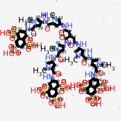 Cn1cc(NC(=O)CC(CC(=O)Nc2cc(C(=O)Nc3cc(C(=O)Nc4cc(S(=O)(=O)O)c5cc(S(=O)(=O)O)cc(S(=O)(=O)O)c5c4)n(C)c3)n(C)c2)C(=O)Nc2cc(C(=O)Nc3cc(C(=O)Nc4cc(S(=O)(=O)O)c5cc(S(=O)(=O)O)cc(S(=O)(=O)O)c5c4)n(C)c3)n(C)c2)cc1C(=O)Nc1cc(C(=O)Nc2cc(S(=O)(=O)O)c3cc(S(=O)(=O)O)cc(S(=O)(=O)O)c3c2)n(C)c1